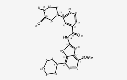 COc1ccc(N2CCOCC2)c2sc(NC(=O)c3ccnc(N4CCN(C)C(=O)C4)c3)nc12